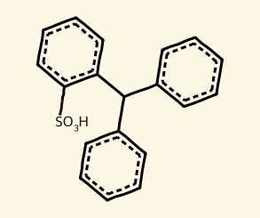 O=S(=O)(O)c1ccccc1C(c1ccccc1)c1ccccc1